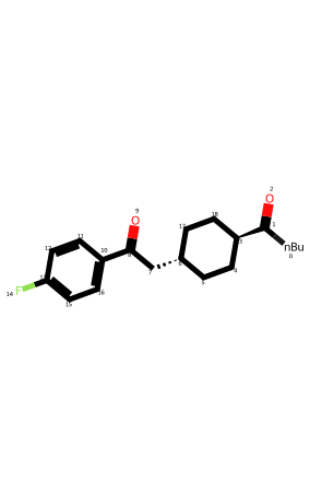 CCCCC(=O)[C@H]1CC[C@H](CC(=O)c2ccc(F)cc2)CC1